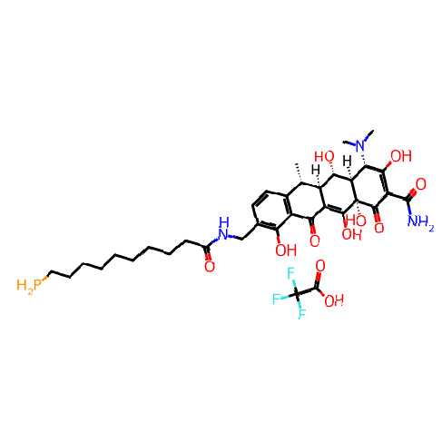 C[C@H]1c2ccc(CNC(=O)CCCCCCCCCP)c(O)c2C(=O)C2=C(O)[C@]3(O)C(=O)C(C(N)=O)=C(O)[C@@H](N(C)C)[C@@H]3[C@@H](O)[C@@H]21.O=C(O)C(F)(F)F